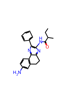 CCC(C)C(=O)Nc1nc2c(nc1-c1ccccc1)-c1ccc(N)cc1CC2